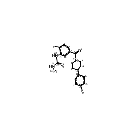 Cc1ccc(C(=O)N2CCC(c3ccc(F)cc3)CC2)cc1NC(=O)NC(C)C